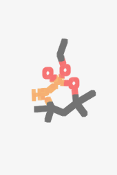 CCOP1(=O)OC(C)(C)CC(C)(C)P1